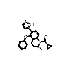 C[C@H]1CCc2c(ccc(-c3ccn[nH]3)c2Oc2ccccc2)N1C(=O)C1CC1